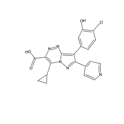 O=C(O)c1nnc2c(-c3ccc(Cl)c(O)c3)c(-c3ccncc3)nn2c1C1CC1